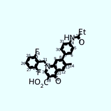 CCC(=O)Nc1ccc(-c2cc3c(cc2C)c(=O)c(C(=O)O)cn3Cc2c(F)cccc2F)cc1